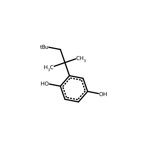 CC(C)(C)CC(C)(C)c1cc(O)ccc1O